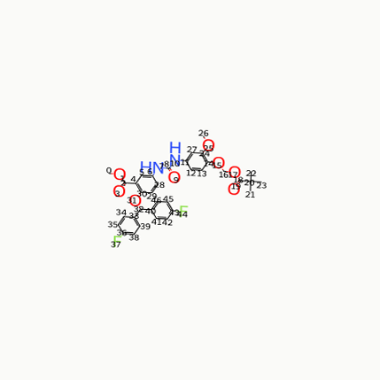 COC(=O)c1cc(NC(=O)Nc2ccc(OCOC(=O)C(C)(C)C)c(OC)c2)ccc1OC(c1ccc(F)cc1)c1ccc(F)cc1